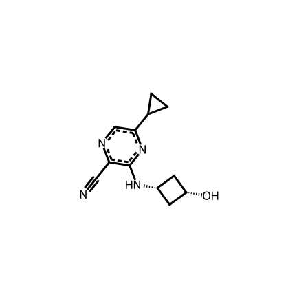 N#Cc1ncc(C2CC2)nc1N[C@H]1C[C@@H](O)C1